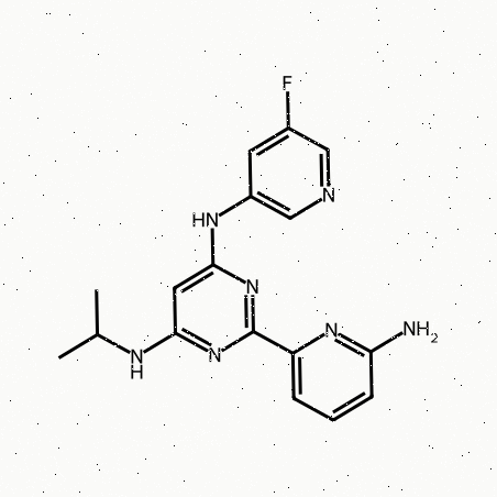 CC(C)Nc1cc(Nc2cncc(F)c2)nc(-c2cccc(N)n2)n1